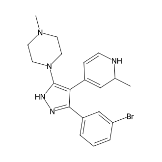 CC1C=C(c2c(-c3cccc(Br)c3)n[nH]c2N2CCN(C)CC2)C=CN1